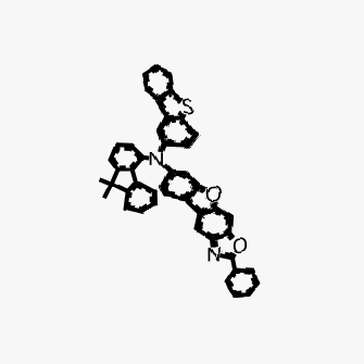 CC1(C)c2ccccc2-c2c(N(c3ccc4c(c3)oc3cc5oc(-c6ccccc6)nc5cc34)c3ccc4sc5ccccc5c4c3)cccc21